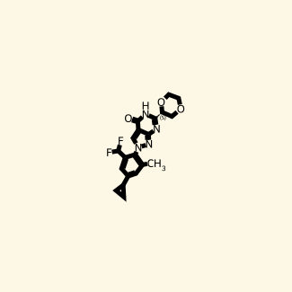 Cc1cc(C2CC2)cc(C(F)F)c1-n1cc2c(=O)[nH]c([C@H]3COCCO3)nc2n1